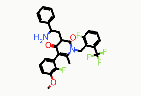 COc1cccc(C2=C(C)N(Cc3c(F)cccc3C(F)(F)F)C(=O)C(CC(N)c3ccccc3)C2=O)c1F